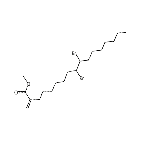 C=C(CCCCCCC(Br)C(Br)CCCCCCC)C(=O)OC